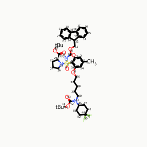 Cc1ccc(S(=O)(=NC(=O)OCC2c3ccccc3-c3ccccc32)N2CCC[C@H]2C(=O)OC(C)(C)C)c(OCCCCCN(C(=O)OC(C)(C)C)C2CCC(F)(F)CC2)c1